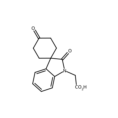 O=C(O)CN1C(=O)C2(CCC(=O)CC2)c2ccccc21